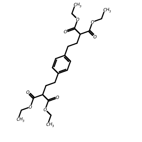 CCOC(=O)C(CCc1ccc(CCC(C(=O)OCC)C(=O)OCC)cc1)C(=O)OCC